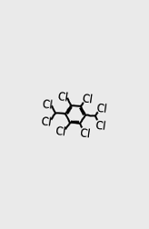 Clc1c(Cl)c(C(Cl)Cl)c(Cl)c(Cl)c1C(Cl)Cl